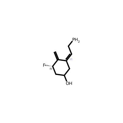 C=C1/C(=C\CP)CC(O)C[C@@H]1F